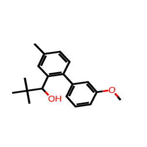 COc1cccc(-c2ccc(C)cc2C(O)C(C)(C)C)c1